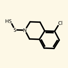 SSN1CCc2c(Cl)cccc2C1